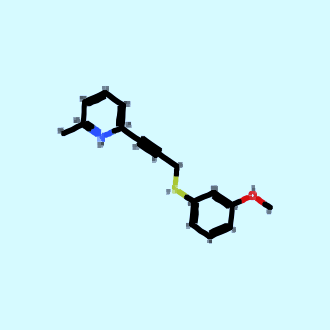 COc1cccc(SCC#Cc2cccc(C)n2)c1